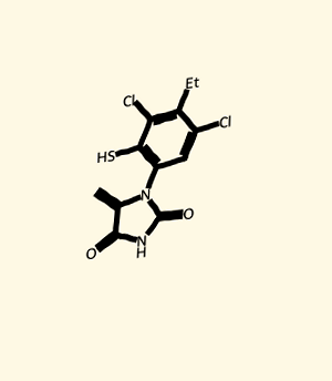 C=C1C(=O)NC(=O)N1c1cc(Cl)c(CC)c(Cl)c1S